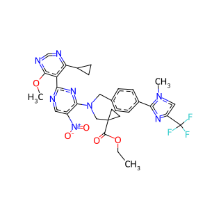 CCOC(=O)C1(CN(Cc2ccc(-c3nc(C(F)(F)F)cn3C)cc2)c2nc(-c3c(OC)ncnc3C3CC3)ncc2[N+](=O)[O-])CC1